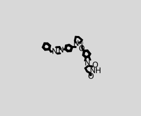 O=C1CCC(N2Cc3ccc(OC[C@H]4CCCCN4Cc4ccc(N5CCN(Cc6ccccc6)CC5)cc4)cc3C2)C(=O)N1